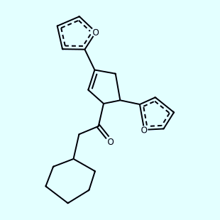 O=C(CC1CCCCC1)C1C=C(c2ccco2)CC1c1ccco1